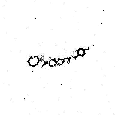 O=C(NCc1ccc(Cl)cc1)OC1=NOC2(CCN(C(=S)NC3CCCCCCC3)CC2)C1